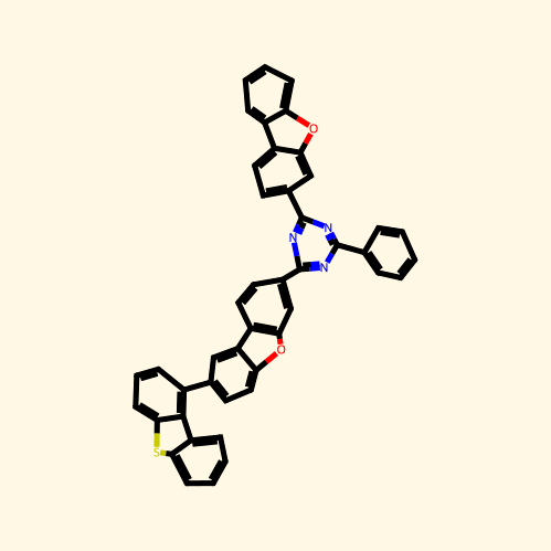 c1ccc(-c2nc(-c3ccc4c(c3)oc3ccccc34)nc(-c3ccc4c(c3)oc3ccc(-c5cccc6sc7ccccc7c56)cc34)n2)cc1